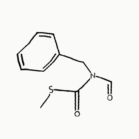 CSC(=O)N(C=O)Cc1ccccc1